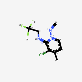 C=Nn1ccc(C)c(Cl)/c1=N/CC(F)(F)F